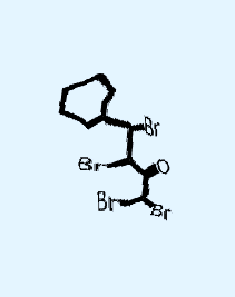 O=C(C(Br)Br)C(Br)C(Br)C1CCCCC1